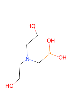 OCCN(CCO)CP(O)O